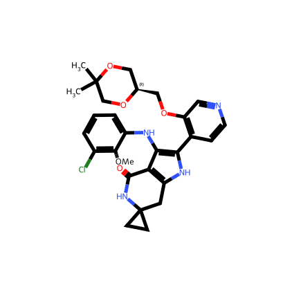 COc1c(Cl)cccc1Nc1c(-c2ccncc2OC[C@@H]2COC(C)(C)CO2)[nH]c2c1C(=O)NC1(CC1)C2